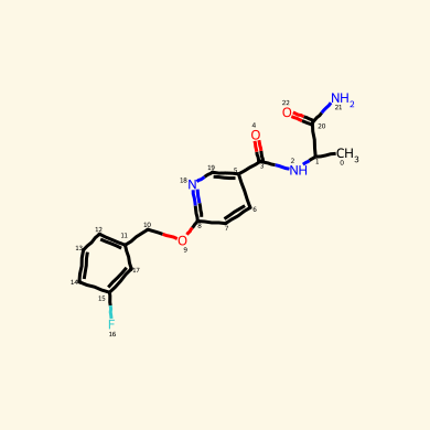 CC(NC(=O)c1ccc(OCc2cccc(F)c2)nc1)C(N)=O